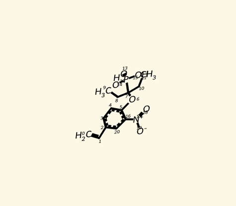 C=Cc1ccc(OC(CC)(CC)P(=O)(O)O)c([N+](=O)[O-])c1